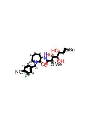 CCC(C)/C=C/C(O)C(O)[C@@H](O)[C@@H](OC)C(=O)N[C@H]1CCCCN(Cc2ccc(C#N)c(F)c2)C1=O